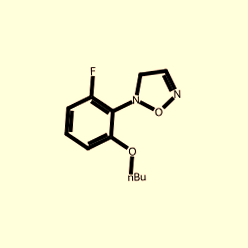 CCCCOc1cccc(F)c1N1CC=NO1